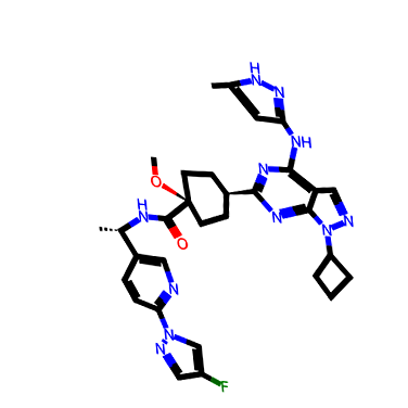 CO[C@]1(C(=O)N[C@@H](C)c2ccc(-n3cc(F)cn3)nc2)CC[C@H](c2nc(Nc3cc(C)[nH]n3)c3cnn(C4CCC4)c3n2)CC1